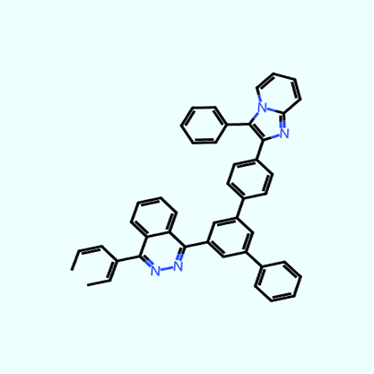 C/C=C\C(=C/C)c1nnc(-c2cc(-c3ccccc3)cc(-c3ccc(-c4nc5ccccn5c4-c4ccccc4)cc3)c2)c2ccccc12